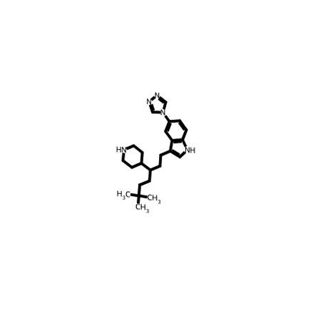 CC(C)(C)CCC(CCc1c[nH]c2ccc(-n3cnnc3)cc12)C1CCNCC1